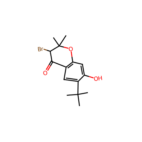 CC(C)(C)c1cc2c(cc1O)OC(C)(C)C(Br)C2=O